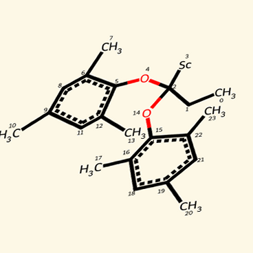 CC[C]([Sc])(Oc1c(C)cc(C)cc1C)Oc1c(C)cc(C)cc1C